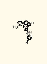 Cc1nccc(-c2cnc3[nH]ccc3c2N[C@H]2C[C@@H](NSc3cc(C#N)ccn3)C2)n1